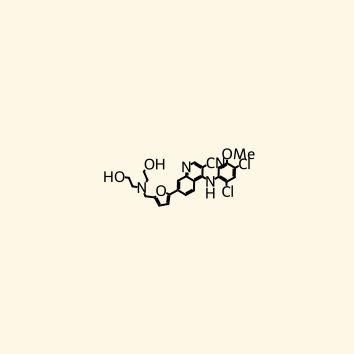 COc1cc(Nc2c(C#N)cnc3cc(-c4ccc(CN(CCO)CCO)o4)ccc23)c(Cl)cc1Cl